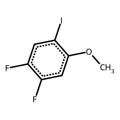 COc1cc(F)c(F)cc1I